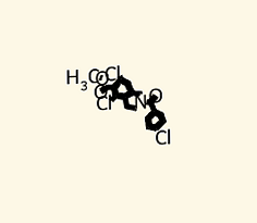 COC(=O)c1c(Cl)cc2c(c1Cl)CCN(C(=O)c1ccc(Cl)cc1)C2